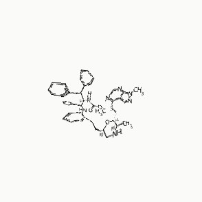 COC(=O)N[C@H](C(=O)Nc1ccccc1CC[C@@H]1CN[C@H](C)[C@@H](CSc2ncnc3c2cnn3C)O1)C(c1ccccc1)c1ccccc1